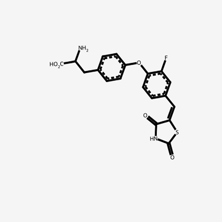 NC(Cc1ccc(Oc2ccc(C=C3SC(=O)NC3=O)cc2F)cc1)C(=O)O